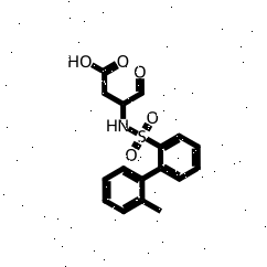 Cc1ccccc1-c1ccccc1S(=O)(=O)NC(C=O)CC(=O)O